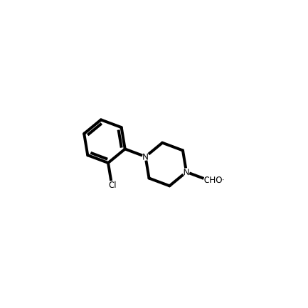 O=[C]N1CCN(c2ccccc2Cl)CC1